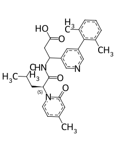 Cc1ccn([C@@H](CC(C)C)C(=O)NC(CC(=O)O)c2cncc(-c3c(C)cccc3C)c2)c(=O)c1